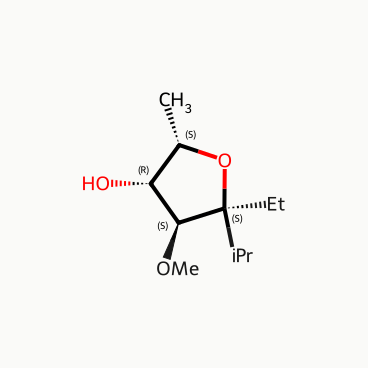 CC[C@@]1(C(C)C)O[C@@H](C)[C@@H](O)[C@@H]1OC